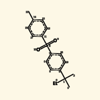 CCC(C)(C)c1ccc(S(=O)(=O)c2ccc(C)cc2)cc1